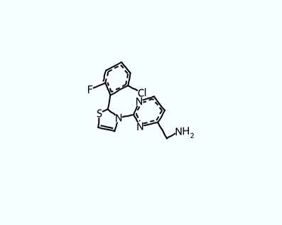 NCc1ccnc(N2C=CSC2c2c(F)cccc2Cl)n1